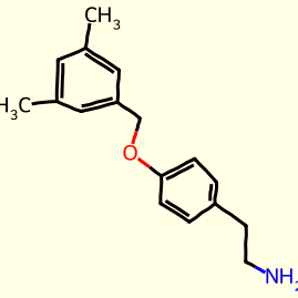 Cc1cc(C)cc(COc2ccc(CCN)cc2)c1